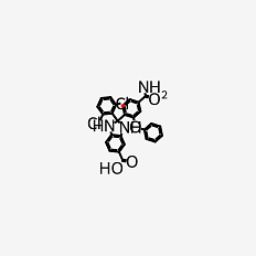 NC(=O)c1ccc(C2(c3c(Cl)cccc3Cl)Nc3ccc(C(=O)O)cc3N2)c(Oc2ccccc2)c1